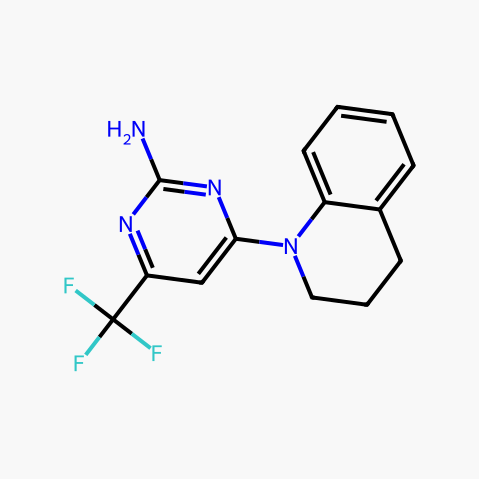 Nc1nc(N2CCCc3ccccc32)cc(C(F)(F)F)n1